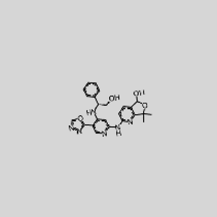 CC1(C)OC(O)c2ccc(Nc3cc(N[C@H](CO)c4ccccc4)c(-c4nnco4)cn3)nc21